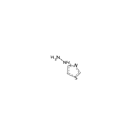 NN.c1cscn1